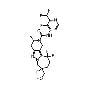 C[C@@H]1Cc2nn3c(c2CN1C(=O)Nc1ccnc(C(F)F)c1F)C(F)(F)CC[C@](F)(CO)C3